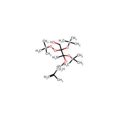 C=C(C)C(=O)O.CCCOC([SiH3])(O[Si](C)(C)C)C(CO)(OO[Si](C)(C)C)O[Si](C)(C)C